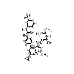 CC(C)NC(=O)O.Cn1nc(N)c2c(-c3ccc(NC(=O)Nc4cccc(C(F)(F)F)c4)cc3)cc(C3CC3)nc21